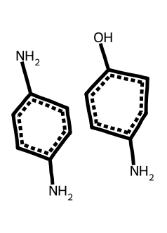 Nc1ccc(N)cc1.Nc1ccc(O)cc1